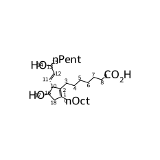 CCCCCCCCC1=C(CCCCCCC(=O)O)[C@@H](/C=C/[C@@H](O)CCCCC)[C@H](O)C1